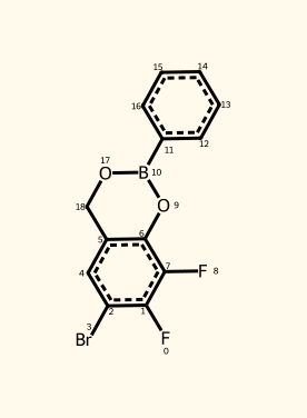 Fc1c(Br)cc2c(c1F)OB(c1ccccc1)OC2